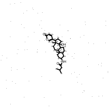 CC(C)CC(=O)NC1CCC2(C)C(CCC3C2CCC2(C)C(c4ccc(=O)oc4)CCC32O)C1